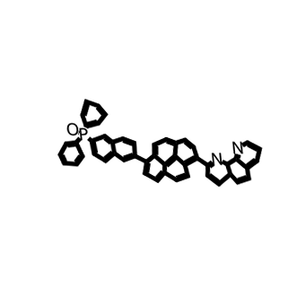 O=P(c1ccccc1)(c1ccccc1)c1ccc2cc(-c3ccc4ccc5c(C6=NC7c8ncccc8C=CC7C=C6)ccc6ccc3c4c65)ccc2c1